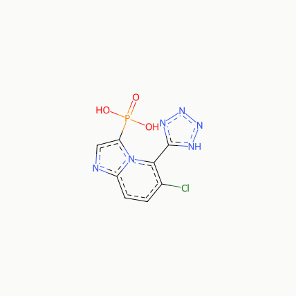 O=P(O)(O)c1cnc2ccc(Cl)c(-c3nnn[nH]3)n12